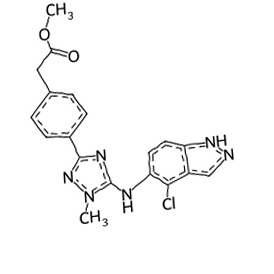 COC(=O)Cc1ccc(-c2nc(Nc3ccc4[nH]ncc4c3Cl)n(C)n2)cc1